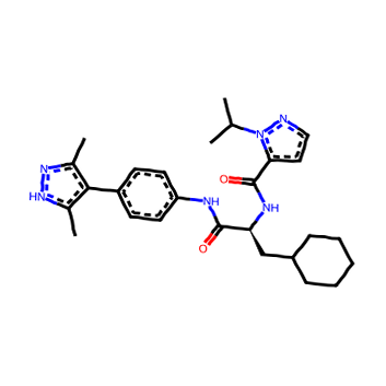 Cc1n[nH]c(C)c1-c1ccc(NC(=O)[C@H](CC2CCCCC2)NC(=O)c2ccnn2C(C)C)cc1